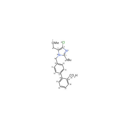 CCCCc1nc(Cl)c(COC)n1Cc1ccc(-c2ccccc2C(=O)O)cc1